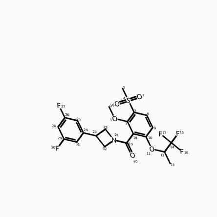 COc1c(S(C)(=O)=O)ccc(OC(C)C(F)(F)F)c1C(=O)N1CC(c2cc(F)cc(F)c2)C1